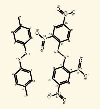 Cc1ccc(SSc2ccc(C)cc2)cc1.O=[N+]([O-])c1ccc(SSc2ccc([N+](=O)[O-])cc2[N+](=O)[O-])c([N+](=O)[O-])c1